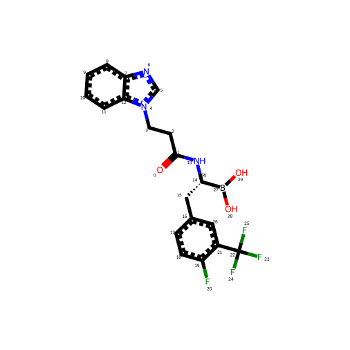 O=C(CCn1cnc2ccccc21)N[C@@H](Cc1ccc(F)c(C(F)(F)F)c1)B(O)O